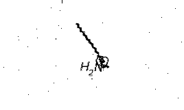 CCCCCCCCCCCCCCCCCCOC(=O)[C@@H](N)[C@@H](C)CC